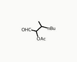 CCCCC(C)C(C=O)OC(C)=O